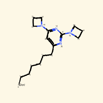 CCCCCCCCCCCCCCCCc1cc(N2CCC2)nc(N2CCC2)n1